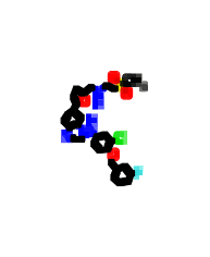 CS(=O)(=O)CCNCc1ccc(-c2ccc3c(c2)N(Nc2ccc(OCc4cccc(F)c4)c(Cl)c2)CC=N3)o1